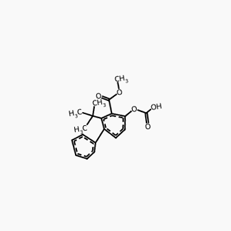 COC(=O)c1c(OC(=O)O)ccc(-c2ccccc2)c1C(C)(C)C